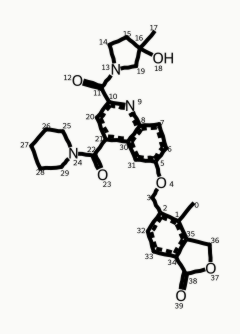 Cc1c(COc2ccc3nc(C(=O)N4CCC(C)(O)C4)cc(C(=O)N4CCCCC4)c3c2)ccc2c1COC2=O